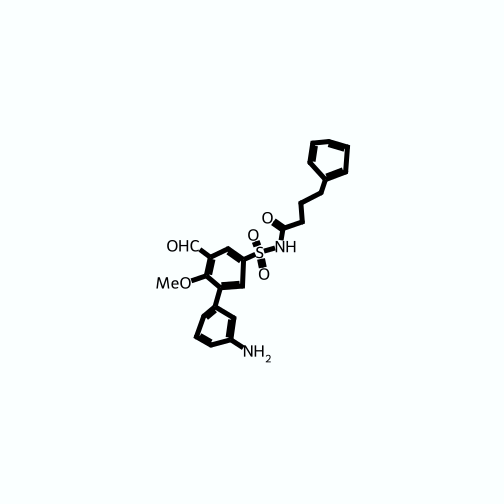 COc1c(C=O)cc(S(=O)(=O)NC(=O)CCCc2ccccc2)cc1-c1cccc(N)c1